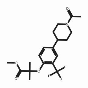 COC(=O)C(C)(C)Oc1ccc(C2CCN(C(C)=O)CC2)cc1C(F)(F)F